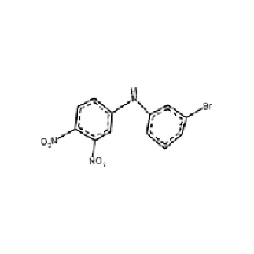 O=[N+]([O-])c1ccc(Nc2cccc(Br)c2)cc1[N+](=O)[O-]